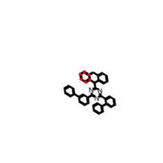 c1ccc(-c2cccc(-c3nc(-c4ccccc4-c4ccccc4)nc(C45c6ccccc6C(c6ccccc64)c4ccccc45)n3)c2)cc1